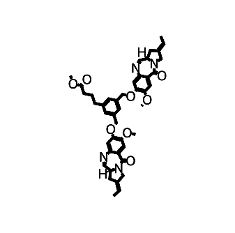 C/C=C1\C[C@H]2C=Nc3cc(OCc4cc(CCCC(=O)OC)cc(COc5cc6c(cc5OC)C(=O)N5C/C(=C/C)C[C@H]5C=N6)c4)c(OC)cc3C(=O)N2C1